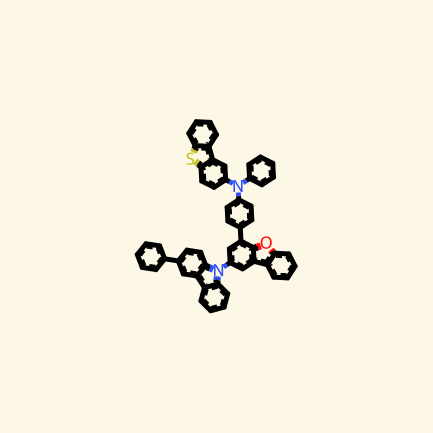 c1ccc(-c2ccc3c(c2)c2ccccc2n3-c2cc(-c3ccc(N(c4ccccc4)c4ccc5sc6ccccc6c5c4)cc3)c3oc4ccccc4c3c2)cc1